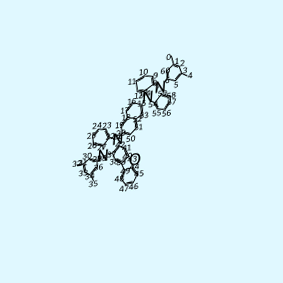 Cc1cc(C)cc(N2c3ccccc3N(c3ccc4cc(N5c6ccccc6N(c6cc(C)cc(C)c6)c6cc7c(cc65)oc5ccccc57)ccc4c3)c3ccccc32)c1